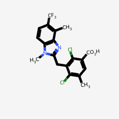 Cc1cc(C(=O)O)c(Cl)c(Cc2nc3c(C)c(C(F)(F)F)ccc3n2C)c1Cl